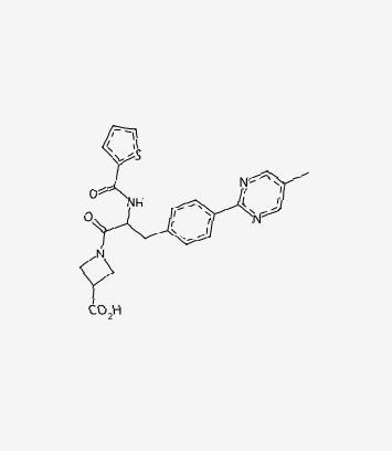 Cc1cnc(-c2ccc(CC(NC(=O)c3cccs3)C(=O)N3CC(C(=O)O)C3)cc2)nc1